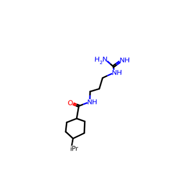 CC(C)C1CCC(C(=O)NCCCNC(=N)N)CC1